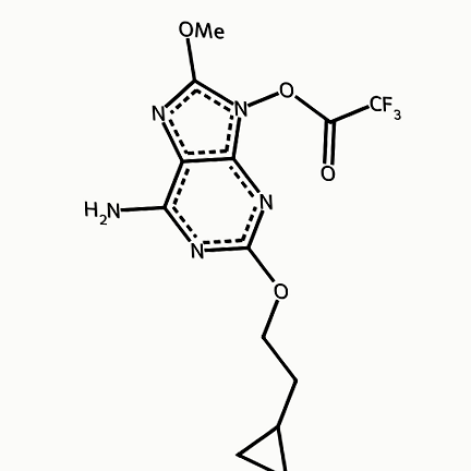 COc1nc2c(N)nc(OCCC3CC3)nc2n1OC(=O)C(F)(F)F